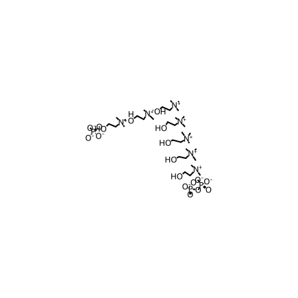 C[N+](C)(C)CCO.C[N+](C)(C)CCO.C[N+](C)(C)CCO.C[N+](C)(C)CCO.C[N+](C)(C)CCO.C[N+](C)(C)CCO.C[N+](C)(C)CCO.O=P([O-])([O-])OP(=O)([O-])[O-].O=P([O-])([O-])[O-]